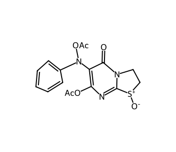 CC(=O)Oc1nc2n(c(=O)c1N(OC(C)=O)c1ccccc1)CC[S+]2[O-]